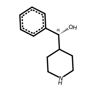 O[C@@H](c1ccccc1)C1CCNCC1